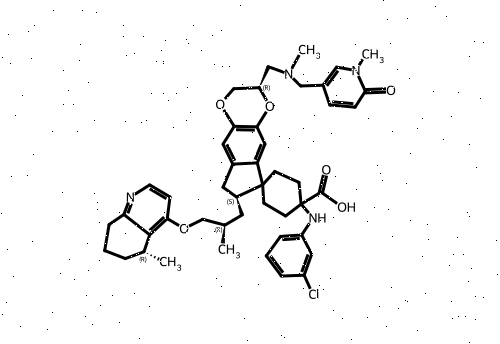 C[C@@H](COc1ccnc2c1[C@H](C)CCC2)C[C@H]1Cc2cc3c(cc2C12CCC(Nc1cccc(Cl)c1)(C(=O)O)CC2)O[C@H](CN(C)Cc1ccc(=O)n(C)c1)CO3